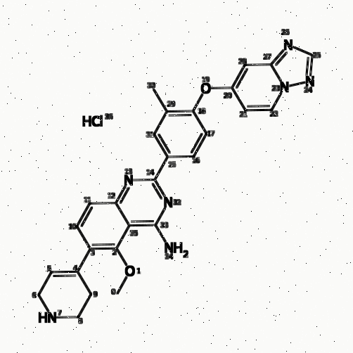 COc1c(C2=CCNCC2)ccc2nc(-c3ccc(Oc4ccn5ncnc5c4)c(C)c3)nc(N)c12.Cl